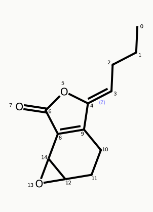 CCC/C=C1\OC(=O)C2=C1CCC1OC21